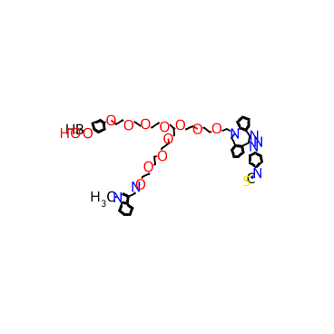 Cn1cc(/C=N/OCCOCCOCCOCC(COCCOCCOCCOc2ccc(OBO)cc2)OCCOCCOCCN2Cc3ccccc3C3C(N=NN3c3ccc(N=C=S)cc3)c3ccccc32)c2ccccc21